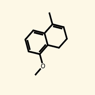 COc1cccc2c1CCC=C2C